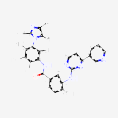 [2H]c1c(C)c([2H])c(-n2c([2H])nc(C)c2[2H])c([2H])c1NC(=O)c1ccc(C)c(Nc2nccc(-c3cccnc3)n2)c1